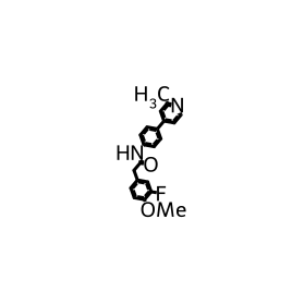 COc1ccc(CC(=O)Nc2ccc(-c3ccnc(C)c3)cc2)cc1F